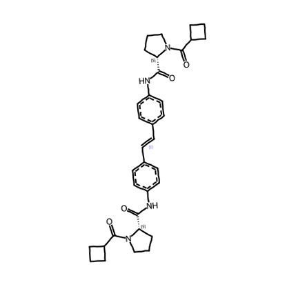 O=C(Nc1ccc(/C=C/c2ccc(NC(=O)[C@@H]3CCCN3C(=O)C3CCC3)cc2)cc1)[C@@H]1CCCN1C(=O)C1CCC1